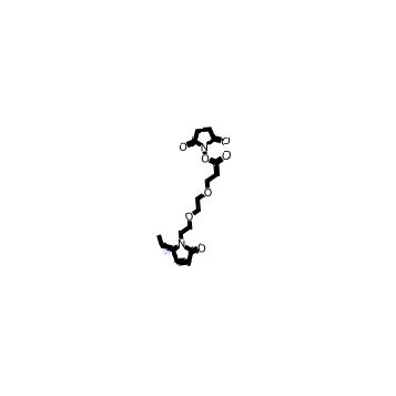 C/C=C1/C=CC(=O)N1CCOCCOCCC(=O)ON1C(=O)CCC1=O